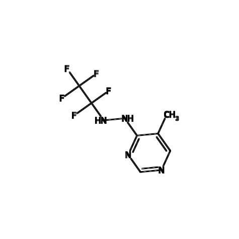 Cc1cncnc1NNC(F)(F)C(F)(F)F